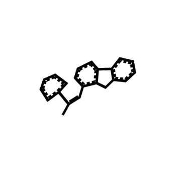 CC(=Cc1cccc2c1Cc1ccccc1-2)c1ccccc1